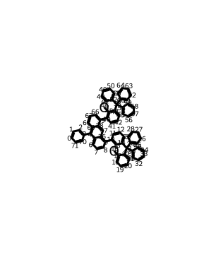 c1ccc(-c2c3cccc(-c4cccc5c4Oc4ccccc4C5(c4ccccc4)c4ccccc4)c3cc3c(-c4cccc5c4Oc4ccccc4C5(c4ccccc4)c4ccccc4)cccc23)cc1